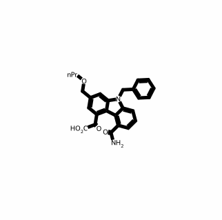 CCCOCc1cc(C(=O)C(=O)O)c2c3c(C(N)=O)cccc3n(Cc3ccccc3)c2c1